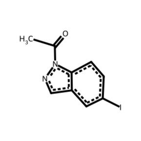 CC(=O)n1ncc2cc(I)ccc21